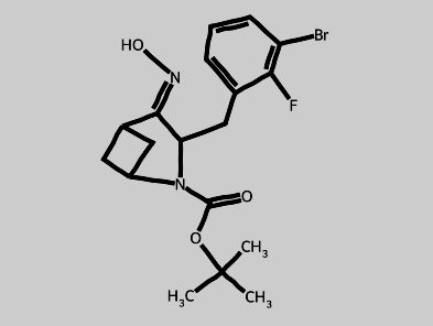 CC(C)(C)OC(=O)N1C2CC(C2)C(=NO)C1Cc1cccc(Br)c1F